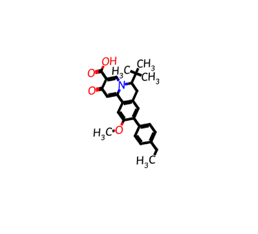 CCc1ccc(-c2cc3c(cc2OC)-c2cc(=O)c(C(=O)O)cn2C(C(C)(C)C)C3)cc1